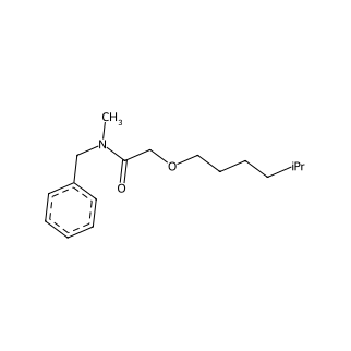 CC(C)CCCCOCC(=O)N(C)Cc1ccccc1